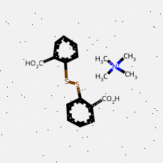 C[N+](C)(C)C.O=C(O)c1ccccc1SSc1ccccc1C(=O)O